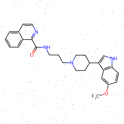 O=C(NCCCN1CCC(c2c[nH]c3ccc(OC(F)(F)F)cc23)CC1)c1nccc2ccccc12